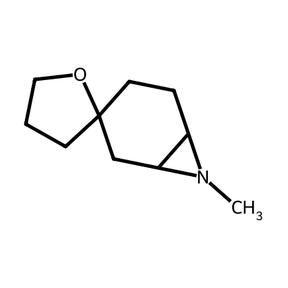 CN1C2CCC3(CCCO3)CC21